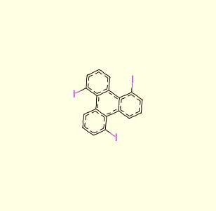 Ic1cccc2c1c1cccc(I)c1c1cccc(I)c21